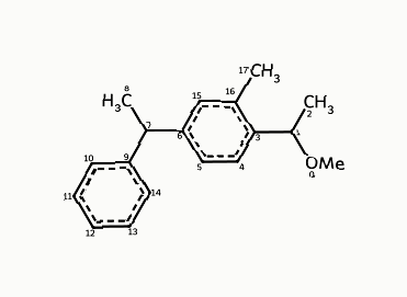 COC(C)c1ccc(C(C)c2ccccc2)cc1C